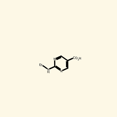 CCNc1ncc(C(=O)O)cn1